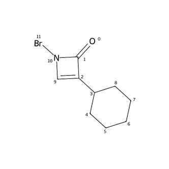 O=C1C(C2CCCCC2)=CN1Br